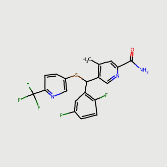 Cc1cc(C(N)=O)ncc1C(Sc1ccc(C(F)(F)F)nc1)c1cc(F)ccc1F